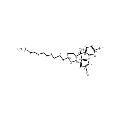 CCOC(=O)CCCCCCCCCN1CCC(C(O)(c2ccc(F)cc2)c2ccc(F)cc2)CC1